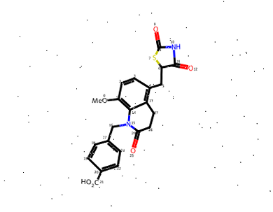 COc1ccc(CC2SC(=O)NC2=O)c2c1N(Cc1ccc(C(=O)O)cc1)C(=O)CC2